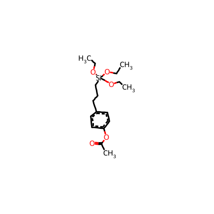 CCO[Si](CCCc1ccc(OC(C)=O)cc1)(OCC)OCC